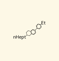 CCCCCCCC1CCc2cc(-c3ccc(CC)cc3)ccc2C1